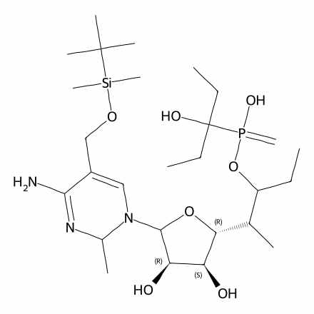 C=P(O)(OC(CC)C(C)[C@H]1OC(N2C=C(CO[Si](C)(C)C(C)(C)C)C(N)=NC2C)[C@H](O)[C@@H]1O)C(O)(CC)CC